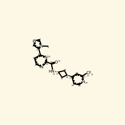 Cn1cncc1-c1ccnc(C(=O)N[C@H]2C[C@H](c3ccnc(C(F)(F)F)c3)C2)n1